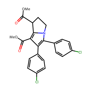 COC(=O)c1c(-c2ccc(Cl)cc2)c(-c2ccc(Cl)cc2)n2c1C(C(=O)OC)CC2